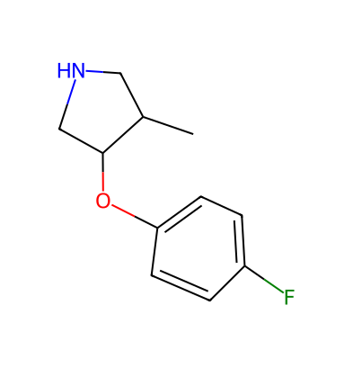 CC1CNCC1Oc1ccc(F)cc1